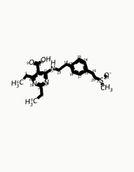 CCc1nc(CC)c(C(=O)O)c(NCCc2ccc(CC[S+](C)[O-])cc2)n1